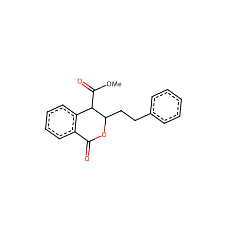 COC(=O)C1c2ccccc2C(=O)OC1CCc1ccccc1